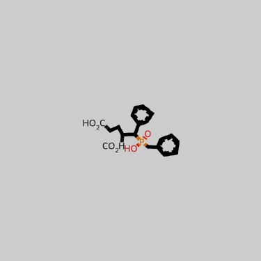 O=C(O)CCC(C(=O)O)C(c1ccccc1)P(=O)(O)Cc1ccccc1